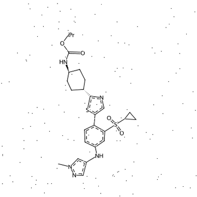 CC(C)OC(=O)N[C@H]1CC[C@H](c2ncc(-c3ccc(Nc4cnn(C)c4)cc3S(=O)(=O)C3CC3)s2)CC1